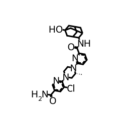 C[C@@H]1CN(c2ncc(C(N)=O)cc2Cl)CCN1c1cccc(C(=O)NC2C3CC4CC2CC(O)(C4)C3)n1